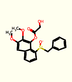 COc1cc2cccc([S+]([O-])Cc3ccccc3)c2c(OC(=O)CO)c1OC